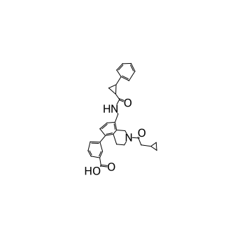 O=C(O)c1cccc(-c2ccc(CNC(=O)C3CC3c3ccccc3)c3c2CCN(C(=O)CC2CC2)C3)c1